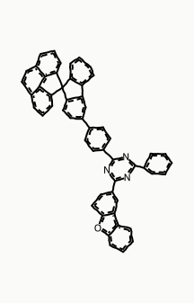 c1ccc(-c2nc(-c3ccc(-c4ccc5c(c4)-c4ccccc4C54c5cccc6ccc7cccc4c7c56)cc3)nc(-c3ccc4oc5ccccc5c4c3)n2)cc1